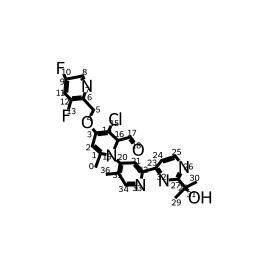 CC1=CC(OCc2ncc(F)cc2F)=C(Cl)C(C=O)N1c1cc(-c2ccnc(C(C)(C)O)n2)ncc1C